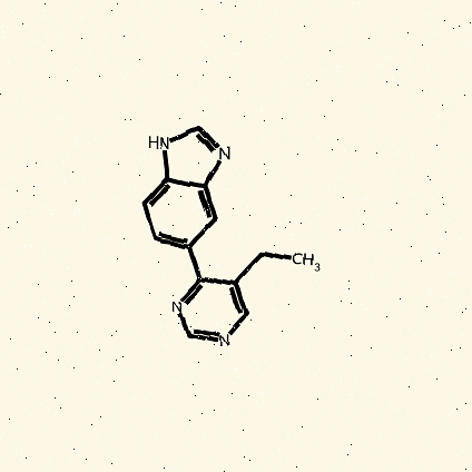 CCc1cncnc1-c1ccc2[nH]cnc2c1